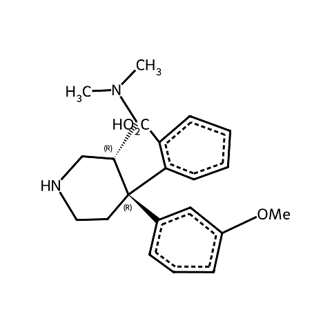 COc1cccc([C@@]2(c3ccccc3C(=O)O)CCNC[C@@H]2CN(C)C)c1